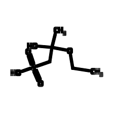 CCOC(C)(O)CS(=O)(=O)O